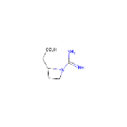 N=C(N)N1CCC1CC(=O)O